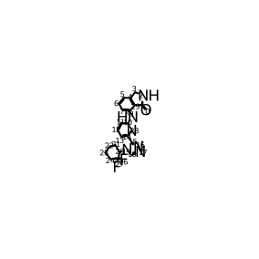 O=C1NCc2cccc(Nc3cccc(-c4nncn4C4CCCCC4(F)F)n3)c21